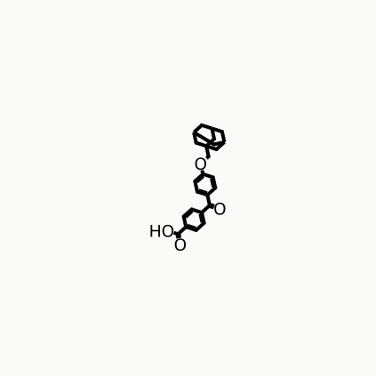 O=C(O)c1ccc(C(=O)c2ccc(OCC34CC5CC(CC(C5)C3)C4)cc2)cc1